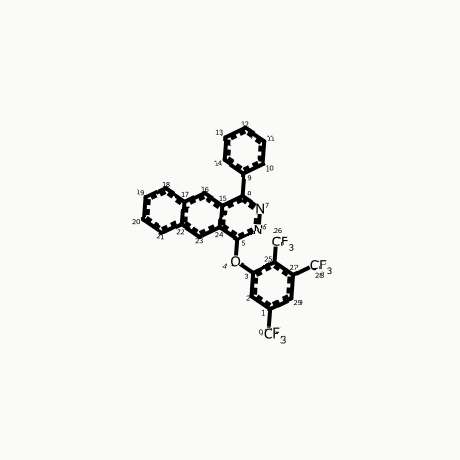 FC(F)(F)c1cc(Oc2nnc(-c3ccccc3)c3cc4ccccc4cc23)c(C(F)(F)F)c(C(F)(F)F)c1